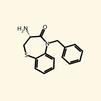 N[C@H]1CSc2ccccc2N(Cc2ccccc2)C1=O